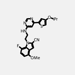 COc1ccc(F)c2c1cc(C#N)n2CCNc1cc(-c2cc(OC(C)C)cs2)ncn1